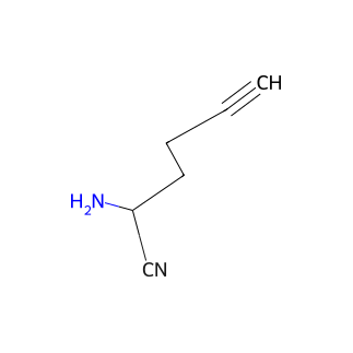 C#CCCC(N)C#N